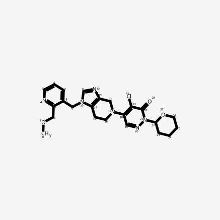 COCc1ncccc1Cn1cnc2c1CCN(c1cnn(C3CCCCO3)c(=O)c1Cl)C2